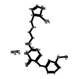 CCOc1cccc(Cc2cnc(NCCSCc3nc[nH]c3C)[nH]c2=O)c1.Cl.Cl